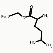 CCCC(C)COC(=O)C(C)CCC(C)O